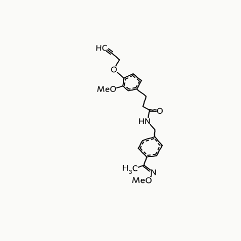 C#CCOc1ccc(CCC(=O)NCc2ccc(C(C)=NOC)cc2)cc1OC